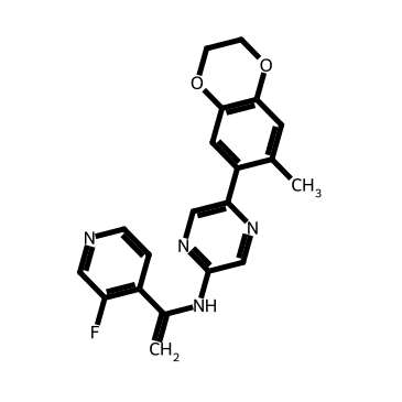 C=C(Nc1cnc(-c2cc3c(cc2C)OCCO3)cn1)c1ccncc1F